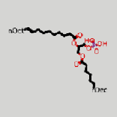 CCCCCCCCC=CCCCCCCCC(=O)OC(COC(=O)CCCCCCCCCCCCCCC)COP(=O)(O)O